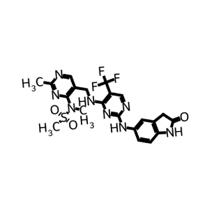 Cc1ncc(CNc2nc(Nc3ccc4c(c3)CC(=O)N4)ncc2C(F)(F)F)c(N(C)S(C)(=O)=O)n1